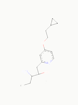 CC(C)CC(N)[C@](O)(Cc1cc(OCCC2CC2)ccn1)C(=O)O